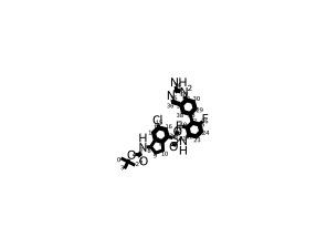 CC(C)(C)OC(=O)NC1CCc2c1cc(Cl)cc2S(=O)(=O)Nc1ccc(F)c(-c2ccc3nc(N)ncc3c2)c1F